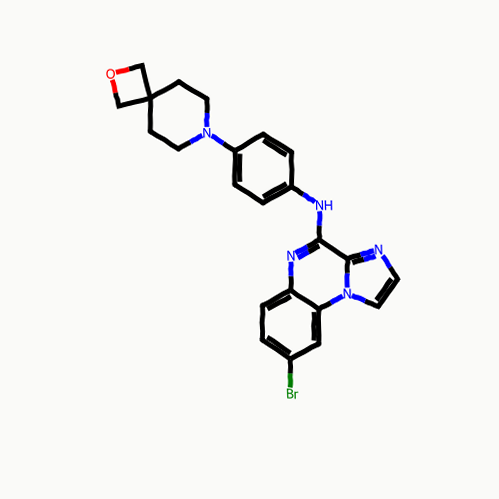 Brc1ccc2nc(Nc3ccc(N4CCC5(CC4)COC5)cc3)c3nccn3c2c1